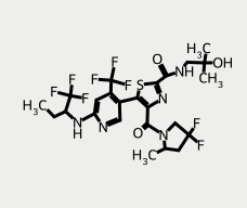 CCC(Nc1cc(C(F)(F)F)c(-c2sc(C(=O)NCC(C)(C)O)nc2C(=O)N2CC(F)(F)CC2C)cn1)C(F)(F)F